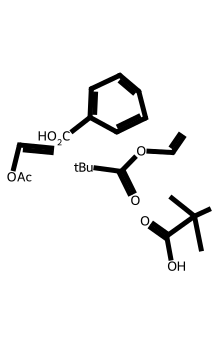 C=COC(=O)C(C)(C)C.C=COC(C)=O.CC(C)(C)C(=O)O.O=C(O)c1ccccc1